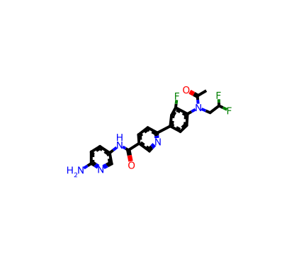 CC(=O)N(CC(F)F)c1ccc(-c2ccc(C(=O)Nc3ccc(N)nc3)cn2)cc1F